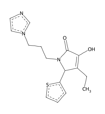 CCC1=C(O)C(=O)N(CCCn2ccnc2)C1c1cccs1